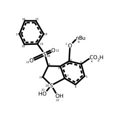 CCCCOc1c(C(=O)O)ccc2c1C(S(=O)(=O)c1ccccc1)CS2(O)O